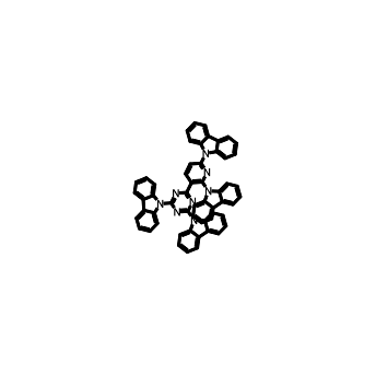 c1ccc2c(c1)c1ccccc1n2-c1ccc(-c2nc(-n3c4ccccc4c4ccccc43)nc(-n3c4ccccc4c4ccccc43)n2)c(-n2c3ccccc3c3ccccc32)n1